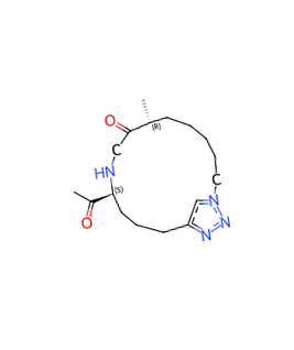 CC(=O)[C@@H]1CCCc2cn(nn2)CCCCC[C@@H](C)C(=O)CN1